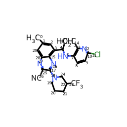 Cc1cc(C(C)Nc2ccc(Cl)nc2C(=O)O)c2nc(N3CCCC(C(F)(F)F)C3)c(C#N)nc2c1